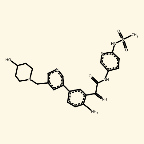 CS(=O)(=O)Nc1ccc(NC(=O)C(=N)c2cc(-c3cncc(CN4CCC(O)CC4)c3)ccc2N)cn1